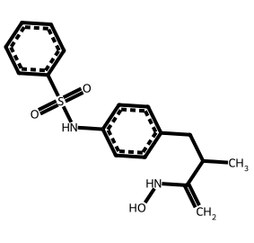 C=C(NO)C(C)Cc1ccc(NS(=O)(=O)c2ccccc2)cc1